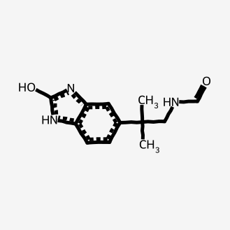 CC(C)(CNC=O)c1ccc2[nH]c(O)nc2c1